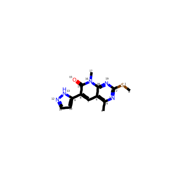 CSc1nc(C)c2cc(-c3ccn[nH]3)c(=O)n(C)c2n1